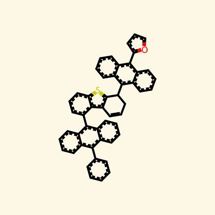 C1=Cc2c(sc3cccc(-c4c5ccccc5c(-c5ccccc5)c5ccccc45)c23)C(c2c3ccccc3c(-c3ccco3)c3ccccc23)C1